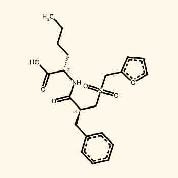 CCCC[C@H](NC(=O)[C@H](Cc1ccccc1)CS(=O)(=O)Cc1ccco1)C(=O)O